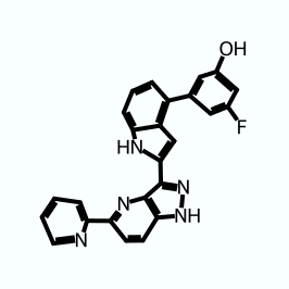 Oc1cc(F)cc(-c2cccc3[nH]c(-c4n[nH]c5ccc(-c6ccccn6)nc45)cc23)c1